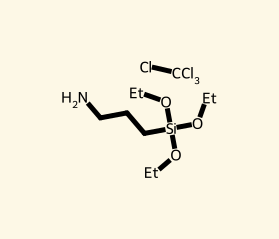 CCO[Si](CCCN)(OCC)OCC.ClC(Cl)(Cl)Cl